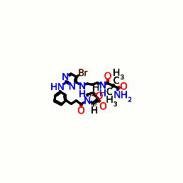 CC(C)(C(N)=O)C(=O)NCCCNc1nc(Nc2cccc(CCC(=O)N3C[C@@H]4C[C@H]3C(=O)O4)c2)ncc1Br